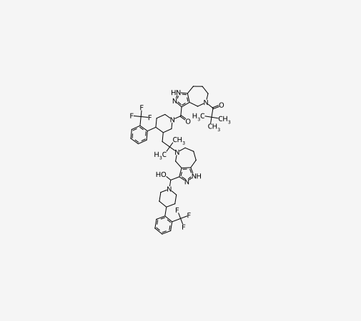 CC(C)(C)C(=O)N1CCCc2[nH]nc(C(=O)N3CCC(c4ccccc4C(F)(F)F)C(CC(C)(C)N4CCCc5[nH]nc(C(O)N6CCC(c7ccccc7C(F)(F)F)CC6)c5C4)C3)c2C1